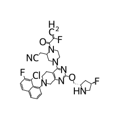 C=C(F)C(=O)N1CCN(c2nc(OC[C@@H]3C[C@@H](F)CN3)nc3c2CCN(c2cccc4ccc(F)c(Cl)c24)C3)CC1CC#N